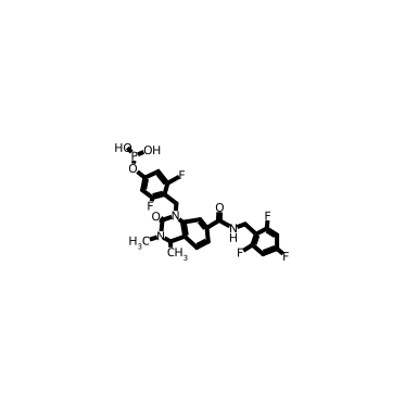 CC1c2ccc(C(=O)NCc3c(F)cc(F)cc3F)cc2N(Cc2c(F)cc(OP(O)O)cc2F)C(=O)N1C